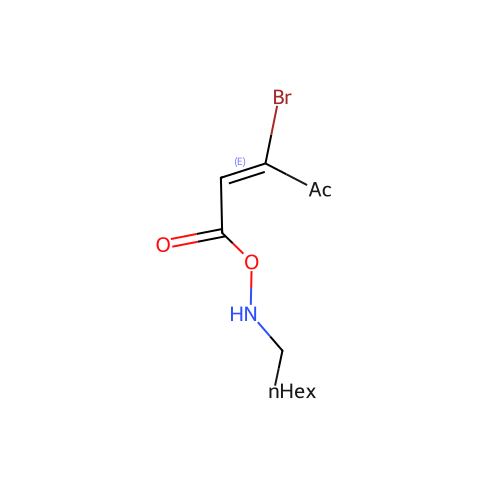 CCCCCCCNOC(=O)/C=C(/Br)C(C)=O